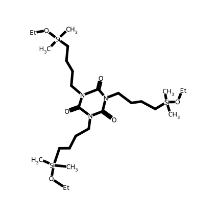 CCO[Si](C)(C)CCCCn1c(=O)n(CCCC[Si](C)(C)OCC)c(=O)n(CCCC[Si](C)(C)OCC)c1=O